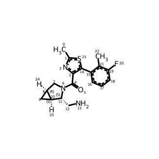 Cc1nc(C(=O)N2C[C@@H]3C[C@@H]3[C@H]2CN)c(-c2cccc(F)c2C)s1